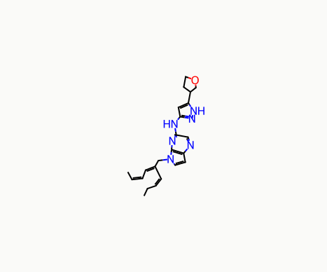 C\C=C/C=C(\C=C/CC)Cn1ccc2ncc(Nc3cc(C4CCOC4)[nH]n3)nc21